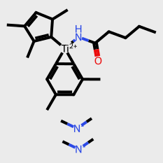 CCCCC(=O)[NH][Ti+2]1([C]2=C(C)C(C)=CC2C)[c]2cc(C)cc(C)[c]21.C[N-]C.C[N-]C